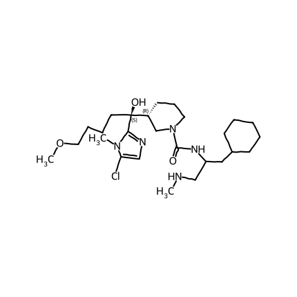 CNCC(CC1CCCCC1)NC(=O)N1CCC[C@@H]([C@@](O)(CCCCOC)c2ncc(Cl)n2C)C1